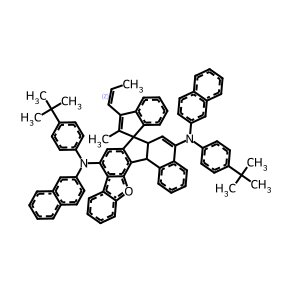 C/C=C\C1=C(C)C2(c3ccccc31)c1cc(N(c3ccc(C(C)(C)C)cc3)c3ccc4ccccc4c3)c3c(oc4ccccc43)c1C1c3ccccc3C(N(c3ccc(C(C)(C)C)cc3)c3ccc4ccccc4c3)=CC12